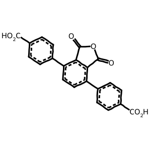 O=C(O)c1ccc(-c2ccc(-c3ccc(C(=O)O)cc3)c3c2C(=O)OC3=O)cc1